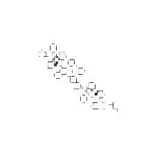 Cc1ccccc1-c1cccc2c1oc1c(N(c3ccccc3)c3ccc4cc5c(cc4c3)C3(c4ccccc4-c4ccccc43)c3cc(N(c4ccccc4)c4cccc6c4oc4c(-c7ccccc7C)cccc46)c4ccccc4c3-5)cccc12